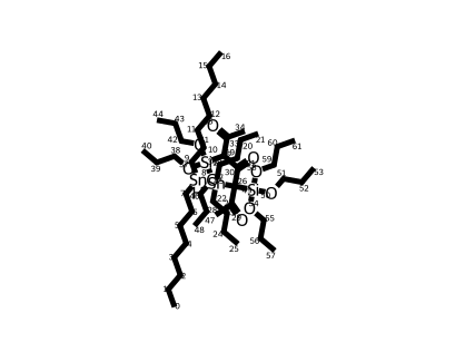 CCCCCCC[CH2][SnH]([CH2]CCCCCCC)[Sn]([CH2]CCC)([CH2]CCC)[C](C(C)=O)(C(=O)C(C(C)=O)[Si](OCCC)(OCCC)OCCC)[Si](OCCC)(OCCC)OCCC